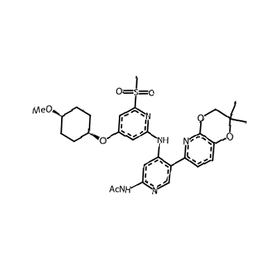 CO[C@H]1CC[C@@H](Oc2cc(Nc3cc(NC(C)=O)ncc3-c3ccc4c(n3)OCC(C)(C)O4)nc(S(C)(=O)=O)c2)CC1